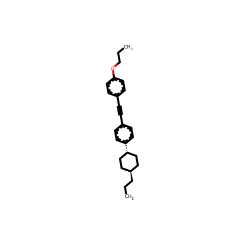 CCCOc1ccc(C#Cc2ccc([C@H]3CC[C@H](CCC)CC3)cc2)cc1